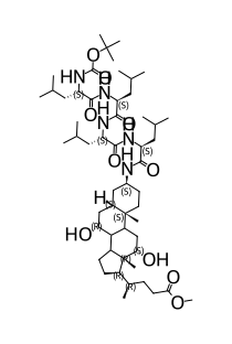 COC(=O)CC[C@@H](C)[C@H]1CCC2C3C(C[C@H](O)[C@@]21C)[C@@]1(C)CC[C@H](NC(=O)[C@H](CC(C)C)NC(=O)[C@H](CC(C)C)NC(=O)[C@H](CC(C)C)NC(=O)[C@H](CC(C)C)NC(=O)OC(C)(C)C)C[C@H]1C[C@H]3O